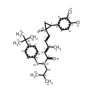 CC(/C=C/[C@]1(F)CC1c1ccc(Cl)c(Cl)c1)=C\C(=O)N(CC(C)C)Sc1ccc(C(C)(C)C)cc1